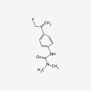 C=C(CF)c1ccc(NC(=O)N(C)C)cc1